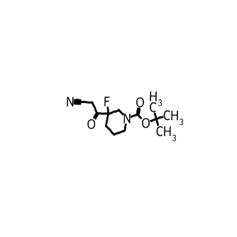 CC(C)(C)OC(=O)N1CCCC(F)(C(=O)CC#N)C1